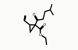 C=CC1CC1(C(=O)CCC(C)C)C(=O)OCC